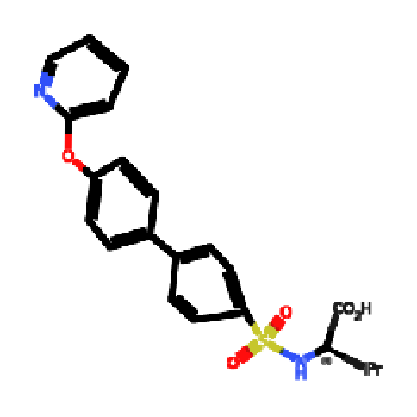 CC(C)[C@@H](NS(=O)(=O)c1ccc(-c2ccc(Oc3ccccn3)cc2)cc1)C(=O)O